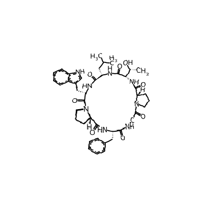 CC(C)C[C@@H]1NC(=O)[C@H]([C@@H](C)O)NC(=O)[C@@H]2CCCN2C(=O)CNC(=O)[C@H](Cc2ccccc2)NC(=O)[C@@H]2CCCN2C(=O)[C@H](Cc2c[nH]c3ccccc23)NC1=O